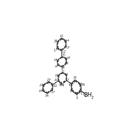 Bc1ccc(-c2cc(-c3ccc(-c4ccccc4)cc3)cc(-c3ccccc3)n2)cc1